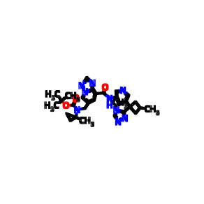 CC1CC(c2cncc(NC(=O)c3cc(CN(C(=O)OC(C)(C)C)C4(C)CC4)cn4ncnc34)c2)(c2nncn2C)C1